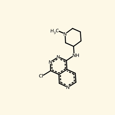 CN1CCCC(Nc2nnc(Cl)c3cnccc23)C1